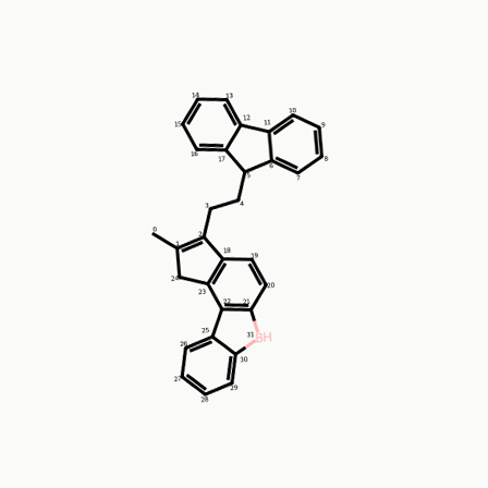 CC1=C(CCC2c3ccccc3-c3ccccc32)c2ccc3c(c2C1)-c1ccccc1B3